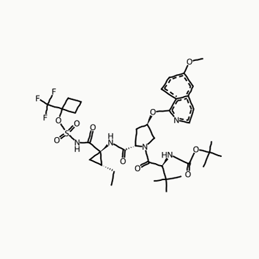 CC[C@@H]1C[C@]1(NC(=O)[C@@H]1C[C@@H](Oc2nccc3cc(OC)ccc23)CN1C(=O)[C@@H](NC(=O)OC(C)(C)C)C(C)(C)C)C(=O)NS(=O)(=O)OC1(C(F)(F)F)CCC1